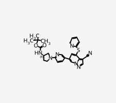 CC(C)(C)OC(=O)N[C@@H]1CCN(c2ccc(-c3cc(Sc4ccccn4)c4c(C#N)cnn4c3)cn2)C1